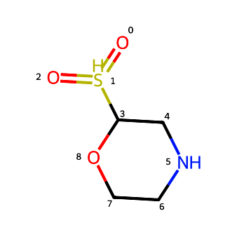 O=[SH](=O)C1CNCCO1